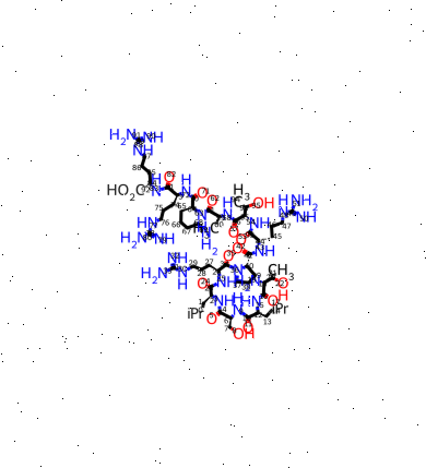 CC(C)C[C@H](NC(=O)[C@H](CO)NC(=O)[C@H](CC(C)C)NC(=O)[C@@H](N)[C@@H](C)O)C(=O)N[C@@H](CCCNC(=N)N)C(=O)N1CCC[C@H]1C(=O)N[C@@H](CCCNC(=N)N)C(=O)N[C@H](C(=O)N[C@@H](C)C(=O)N[C@@H](CCCCN)C(=O)N[C@@H](CCCNC(=N)N)C(=O)N[C@@H](CCCNC(=N)N)C(=O)O)[C@@H](C)O